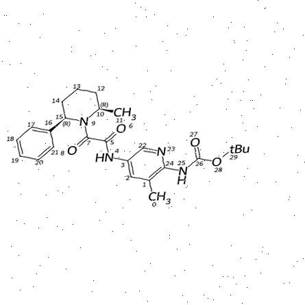 Cc1cc(NC(=O)C(=O)N2[C@H](C)CCC[C@@H]2c2ccccc2)cnc1NC(=O)OC(C)(C)C